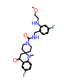 COCCNc1cc(F)ccc1CNC(=O)N1CCC2(CC1)CC(=O)c1cc(F)ccc1N2C